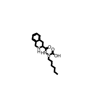 CCCCCCN(NC(=O)C1Cc2ccccc2CN1)C(=O)O